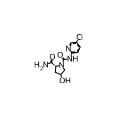 NC(=O)[C@@H]1CC(O)CN1C(=O)Nc1ccc(Cl)cn1